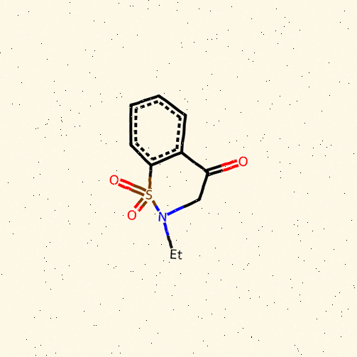 CCN1CC(=O)c2ccccc2S1(=O)=O